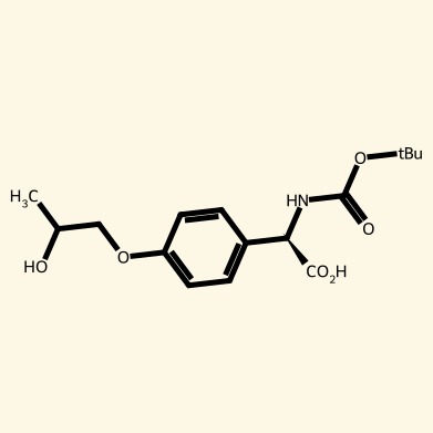 CC(O)COc1ccc([C@@H](NC(=O)OC(C)(C)C)C(=O)O)cc1